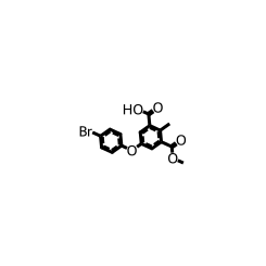 COC(=O)c1cc(Oc2ccc(Br)cc2)cc(C(=O)O)c1C